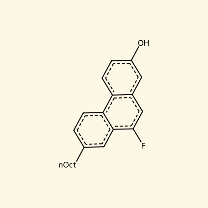 CCCCCCCCc1ccc2c(c1)c(F)cc1cc(O)ccc12